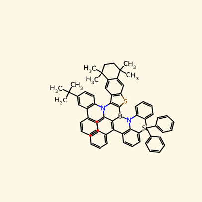 CC(C)(C)c1ccc(N2c3cc4ccccc4c4c3B(c3sc5cc6c(cc5c32)C(C)(C)CCC6(C)C)N2c3ccccc3[Si](c3ccccc3)(c3ccccc3)c3cccc-4c32)c(-c2ccccc2)c1